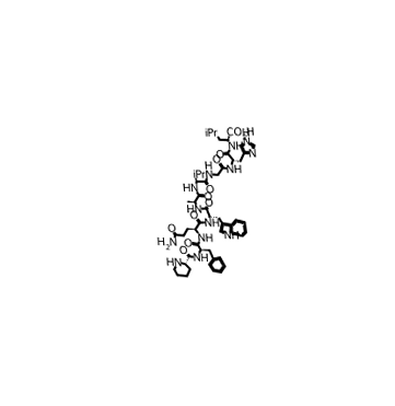 CC(C)C[C@H](NC(=O)[C@H](Cc1c[nH]cn1)NC(=O)CNC(=O)[C@@H](NC(=O)[C@H](C)NC(=O)[C@H](Cc1c[nH]c2ccccc12)NC(=O)[C@H](CCC(N)=O)NC(=O)[C@@H](Cc1ccccc1)NC(=O)[C@@H]1CCCCN1)C(C)C)C(=O)O